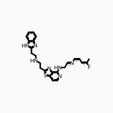 C\C(F)=C/C=C\N=C\CNc1nccc2sc(CCNCCc3nc4ccccc4[nH]3)nc12